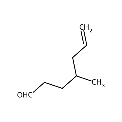 C=CCC(C)CCC=O